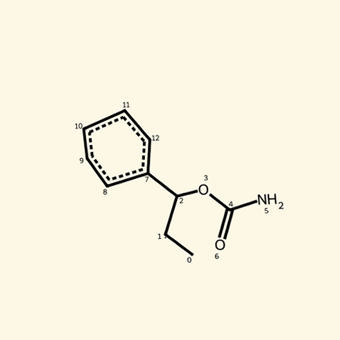 C[CH]C(OC(N)=O)c1ccccc1